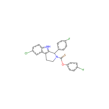 Fc1ccc(OC(=S)N2CCc3c([nH]c4ccc(Cl)cc34)C2c2ccc(F)cc2)cc1